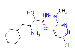 CN(NC(=O)C(O)C(N)CC1CCCCC1)c1ccc(Cl)nn1